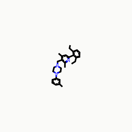 CCc1cccc(CC)c1-c1cc(C)c(CN2CCN(c3cccc(C)c3)CC2)c(C)n1